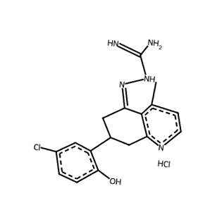 Cc1ccnc2c1/C(=N\NC(=N)N)CC(c1cc(Cl)ccc1O)C2.Cl